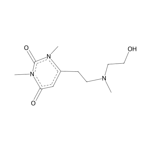 CN(CCO)CCc1cc(=O)n(C)c(=O)n1C